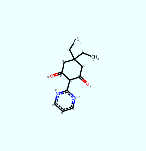 CCC1(CC)CC(=O)C(c2ncccn2)C(=O)C1